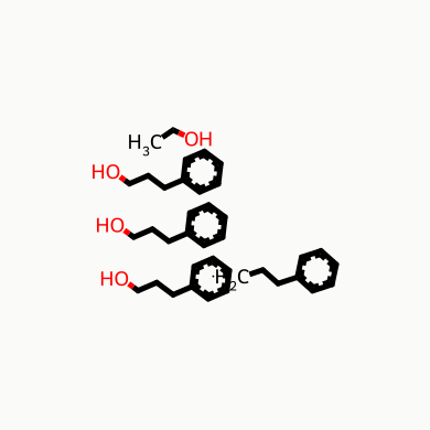 CCO.OCCCc1ccccc1.OCCCc1ccccc1.OCCCc1ccccc1.[CH2]CCc1ccccc1